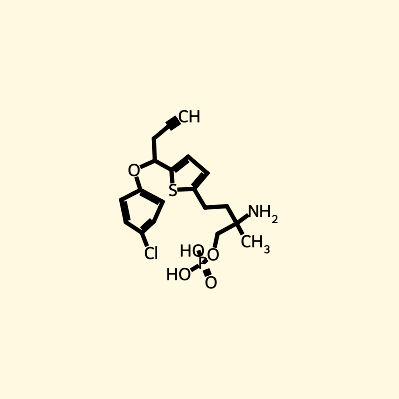 C#CCC(Oc1ccc(Cl)cc1)c1ccc(CCC(C)(N)COP(=O)(O)O)s1